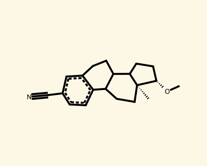 CO[C@H]1CCC2C3CCc4cc(C#N)ccc4C3CC[C@@]21C